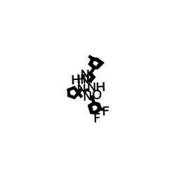 Cc1cccc(-c2cc(N/C(=N\C(=O)c3ccc(F)c(F)c3)NC3(C)CCCC3)[nH]n2)c1